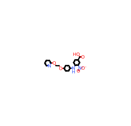 O=C(O)c1ccc(Nc2ccc(OCCOc3ccccn3)cc2)c([N+](=O)[O-])c1